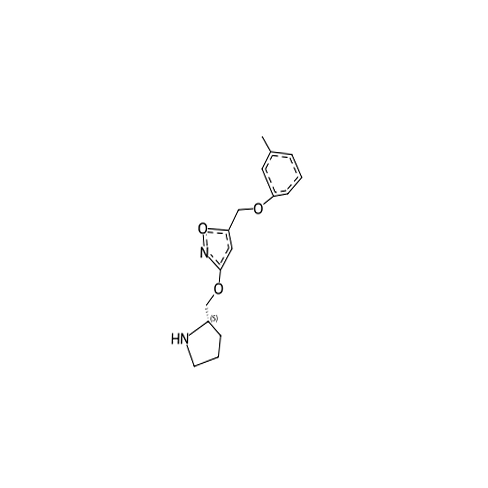 Cc1cccc(OCc2cc(OC[C@@H]3CCCN3)no2)c1